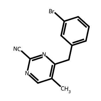 Cc1cnc(C#N)nc1Cc1cccc(Br)c1